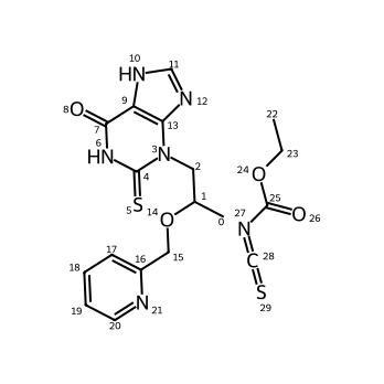 CC(Cn1c(=S)[nH]c(=O)c2[nH]cnc21)OCc1ccccn1.CCOC(=O)N=C=S